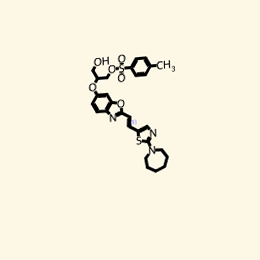 Cc1ccc(S(=O)(=O)OCC(CO)Oc2ccc3nc(/C=C/c4cnc(N5CCCCCC5)s4)oc3c2)cc1